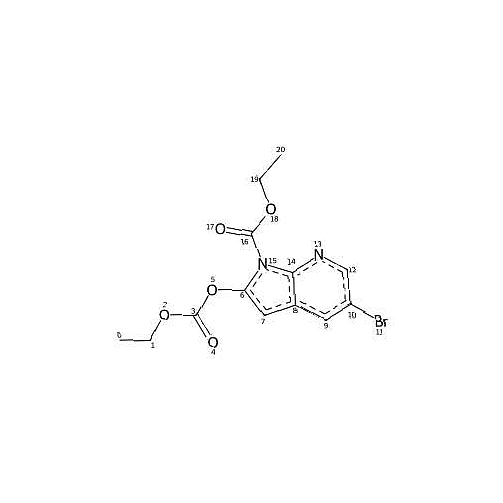 CCOC(=O)Oc1cc2cc(Br)cnc2n1C(=O)OCC